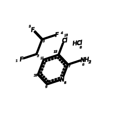 Cl.FCC(F)F.Nc1ncccc1Cl